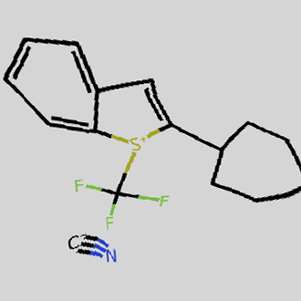 FC(F)(F)[s+]1c(C2CCCCC2)cc2ccccc21.[C-]#N